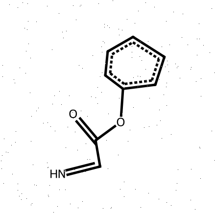 N=CC(=O)Oc1ccccc1